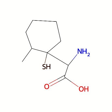 CC1CCCCC1(S)C(N)C(=O)O